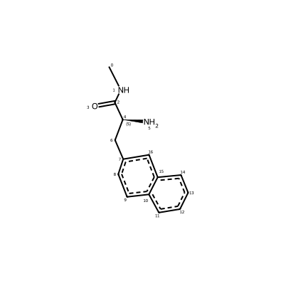 CNC(=O)[C@@H](N)Cc1ccc2ccccc2c1